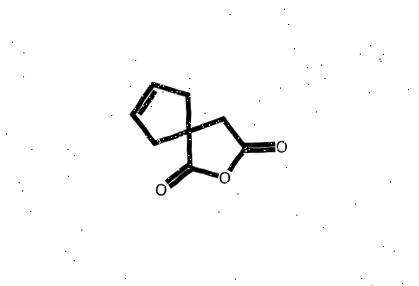 O=C1CC2(CC=CC2)C(=O)O1